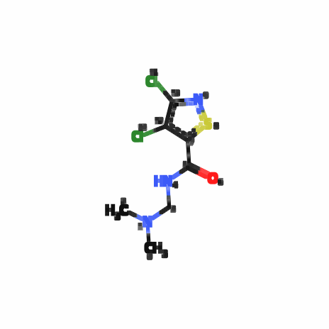 CN(C)CNC(=O)c1snc(Cl)c1Cl